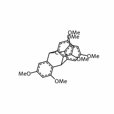 COc1cc(OC)c2c(c1)C1Cc3c(OC)cc(OC)cc3C2c2c(OC)cc(OC)cc21